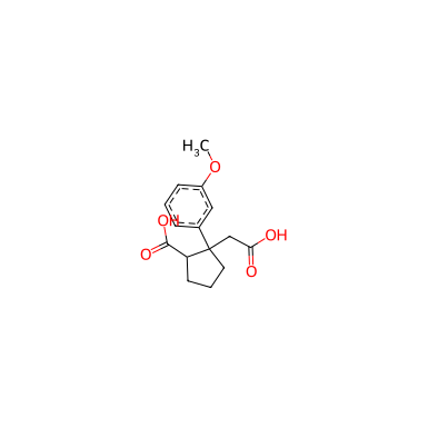 COc1cccc(C2(CC(=O)O)CCCC2C(=O)O)c1